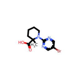 CC1(C(=O)O)CCCCN1c1ncc(Br)cn1